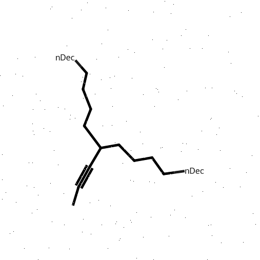 CC#CC(CCCCCCCCCCCCCC)CCCCCCCCCCCCCC